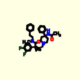 CC(=O)NC1(c2ccccc2)CCN(C[C@@H]2C[C@@]2(C(=O)N(C)CCc2ccccc2)c2ccc(F)c(F)c2)CC1